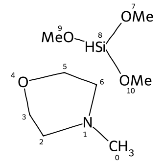 CN1CCOCC1.CO[SiH](OC)OC